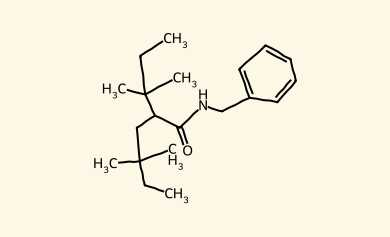 CCC(C)(C)CC(C(=O)NCc1ccccc1)C(C)(C)CC